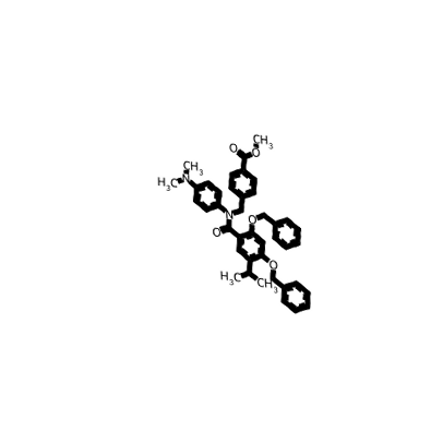 COC(=O)c1ccc(CN(C(=O)c2cc(C(C)C)c(OCc3ccccc3)cc2OCc2ccccc2)c2ccc(N(C)C)cc2)cc1